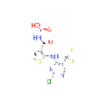 O=C(O)NC(=O)c1ccsc1Nc1nc(Cl)ncc1C(F)(F)F